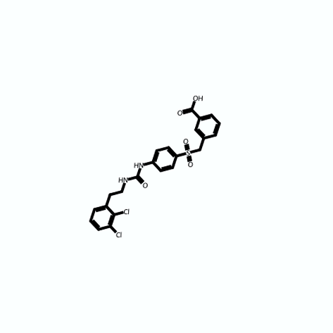 O=C(NCCc1cccc(Cl)c1Cl)Nc1ccc(S(=O)(=O)Cc2cccc(C(=O)O)c2)cc1